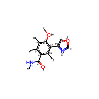 CNC(=O)c1c(C)c(C)c(OC)c(-c2cocn2)c1C